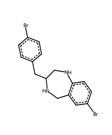 Brc1ccc(CC2CNc3ccc(Br)cc3CN2)cc1